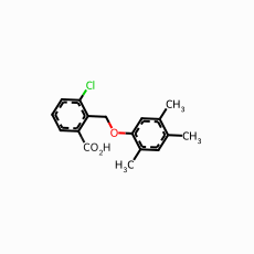 Cc1cc(C)c(OCc2c(Cl)cccc2C(=O)O)cc1C